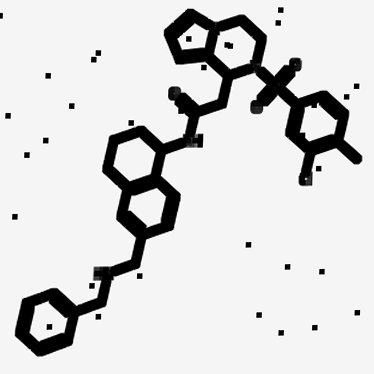 Cc1ccc(S(=O)(=O)N2CCn3cccc3C2CC(=O)NC2CCCc3cc(CNCc4ccccc4)ccc32)cc1Cl